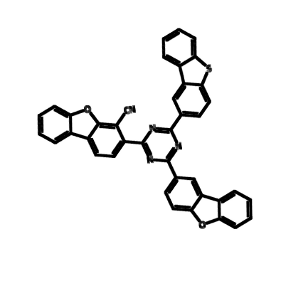 N#Cc1c(-c2nc(-c3ccc4oc5ccccc5c4c3)nc(-c3ccc4sc5ccccc5c4c3)n2)ccc2c1oc1ccccc12